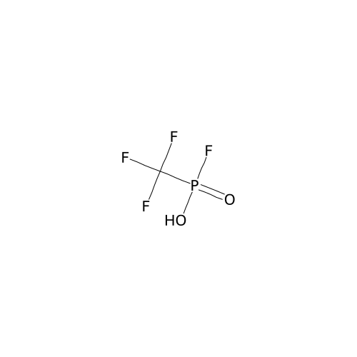 O=P(O)(F)C(F)(F)F